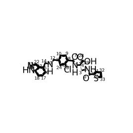 O=C(NC[C@H](NC(=O)c1ccc(CNCc2cccc3[nH]ncc23)cc1Cl)C(=O)O)c1cccs1